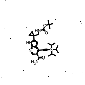 CC(C)[Si](C#Cc1c(C(N)=O)cnc2[nH]c(C3(CNC(=O)OC(C)(C)C)CC3)cc12)(C(C)C)C(C)C